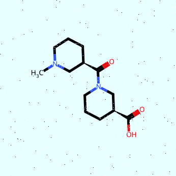 CN1CCC[C@@H](C(=O)N2CCC[C@H](C(=O)O)C2)C1